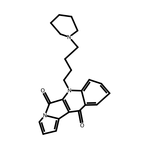 O=C1c2c(c(=O)c3ccccc3n2CCCCN2CCCCC2)-c2cccn21